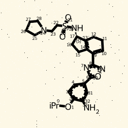 CC(C)Oc1ccc(-c2nc(C3=CCCC4=C3CC[C@@H]4NS(=O)(=O)CCN3CCCC3)no2)cc1N